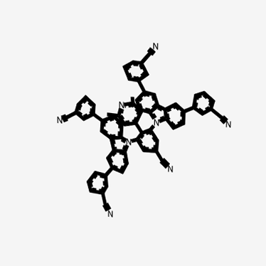 Cc1cc(-c2c(-n3c4ccc(-c5cccc(C#N)c5)cc4c4cc(-c5cccc(C#N)c5)ccc43)cc(C#N)cc2-n2c3ccc(-c4cccc(C#N)c4)cc3c3cc(-c4cccc(C#N)c4)ccc32)cc(C)n1